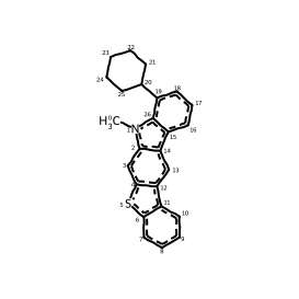 Cn1c2cc3sc4ccccc4c3cc2c2cccc(C3CCCCC3)c21